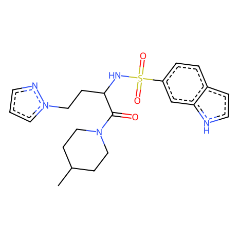 CC1CCN(C(=O)C(CCn2cccn2)NS(=O)(=O)c2ccc3cc[nH]c3c2)CC1